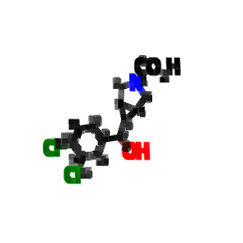 O=C(O)N1CC2C(C1)C2C(O)c1ccc(Cl)c(Cl)c1